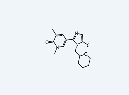 Cc1cc(-c2ncc(Cl)n2CC2CCCCO2)cn(C)c1=O